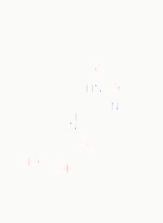 O=C(Nc1ccc(O)c(O)c1)c1ccnc(NS(=O)(=O)C2CCCCC2)c1